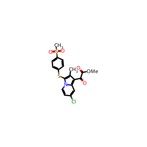 COC(=O)C(=O)c1c(C)c(Sc2ccc(S(C)(=O)=O)cc2)n2ccc(Cl)cc12